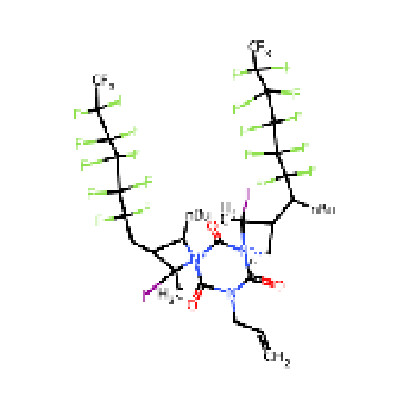 C=CCN1C(=O)[N+]2(C(=O)[N@+]3(CC(C(CCCC)C(F)(F)C(F)(F)C(F)(F)C(F)(F)C(F)(F)C(F)(F)F)C3(C)I)C1=O)C(CCCC)C(CC(F)(F)C(F)(F)C(F)(F)C(F)(F)C(F)(F)C(F)(F)F)C2(C)I